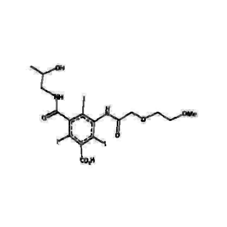 COCCOCC(=O)Nc1c(I)c(C(=O)O)c(I)c(C(=O)NCC(C)O)c1I